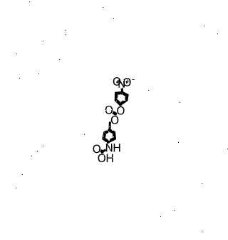 O=C(O)Nc1ccc(COC(=O)Oc2ccc([N+](=O)[O-])cc2)cc1